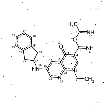 CCn1cc(C(=N)OC(C)=N)c(=O)c2cc(NC3Cc4ccccc4C3)cnc21